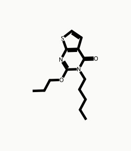 CCCCCn1c(OCCC)nc2sccc2c1=O